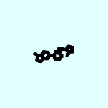 CN1CCc2cc(-c3ccnc(Nc4ccnn4C)n3)ccc21